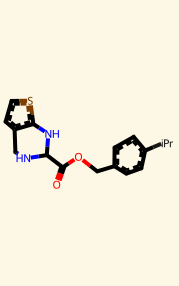 CC(C)c1ccc(COC(=O)C2NCc3ccsc3N2)cc1